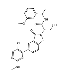 CNc1ncc(Cl)c(-c2ccc3c(c2)C(=O)N(C(CO)C(=O)NC(C)c2cccc(OC)c2)C3)n1